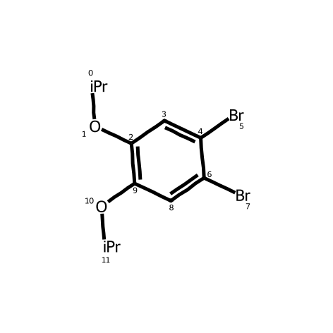 CC(C)Oc1cc(Br)c(Br)cc1OC(C)C